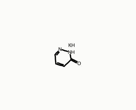 O=c1cccn[nH]1.[KH]